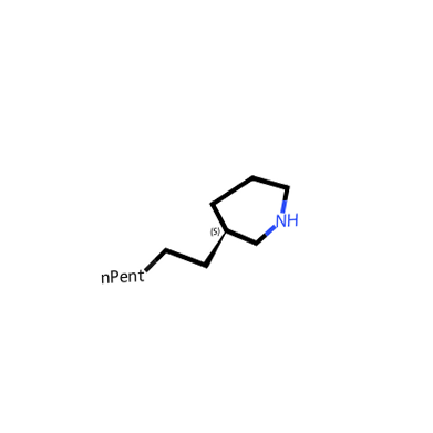 CCCCCCC[C@H]1CCCNC1